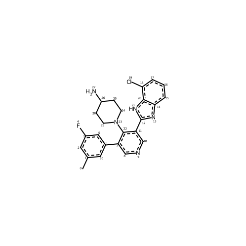 Cc1cc(F)cc(-c2cncc(-c3nc4cccc(Cl)c4[nH]3)c2N2CCC(N)CC2)c1